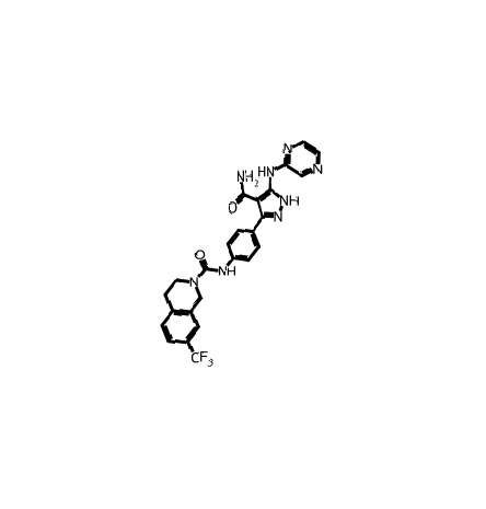 NC(=O)c1c(-c2ccc(NC(=O)N3CCc4ccc(C(F)(F)F)cc4C3)cc2)n[nH]c1Nc1cnccn1